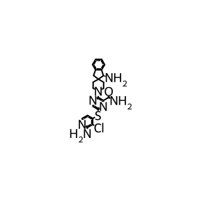 NC(=O)c1nc(Sc2ccnc(N)c2Cl)cnc1N1CCC2(CC1)Cc1ccccc1[C@H]2N